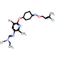 CCN(C)/C=N/c1cc(Br)c(OC2CCC(=NOC/C=C(\C)Cl)CC2)nc1C